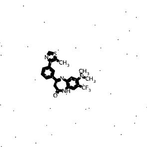 Cc1scnc1-c1cccc(C2=Nc3cc(N(C)C)c(C(F)(F)F)cc3NC(=O)C2)c1